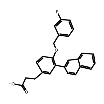 O=C(O)CCc1ccc(OCc2cccc(F)c2)c(-c2ccc3ccccc3c2)c1